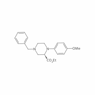 CCOC(=O)[C@H]1CN(Cc2ccccc2)CCN1c1ccc(OC)cc1